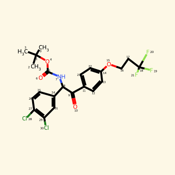 CC(C)(C)OC(=O)NC(C(=O)c1ccc(OCCC(F)(F)F)cc1)c1ccc(Cl)c(Cl)c1